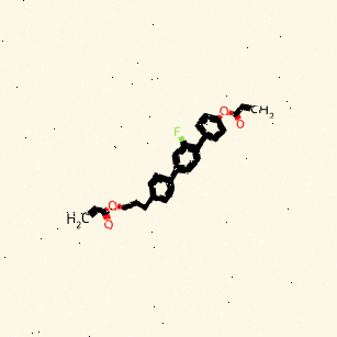 C=CC(=O)OCCCc1ccc(-c2ccc(-c3ccc(OC(=O)C=C)cc3)c(F)c2)cc1